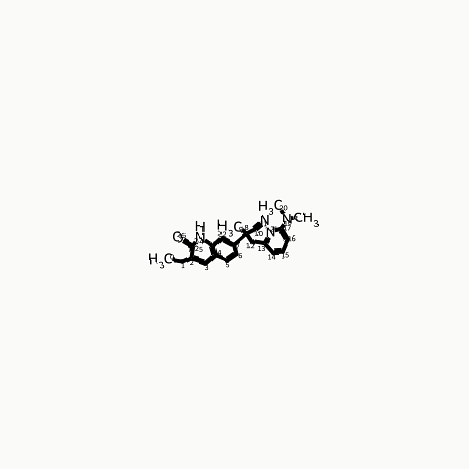 CCc1cc2ccc(C(C)(C#N)Cc3cccc(N(C)C)n3)cc2[nH]c1=O